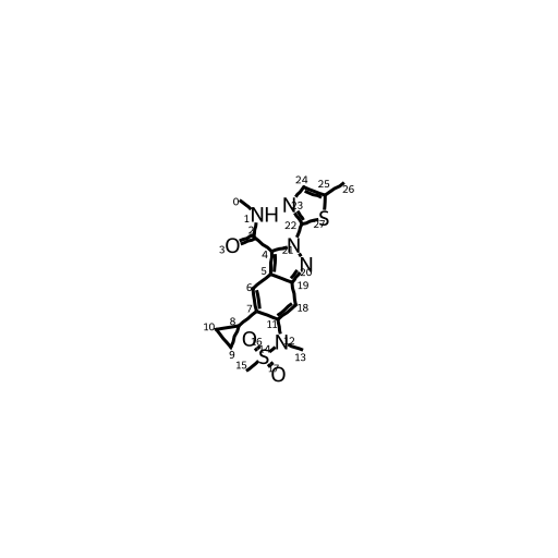 CNC(=O)c1c2cc(C3CC3)c(N(C)S(C)(=O)=O)cc2nn1-c1ncc(C)s1